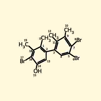 Cc1c(-c2cc(Br)c(Br)c(C)c2C)cc(O)c(Br)c1C